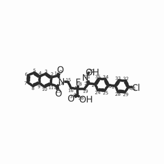 O=C1c2cc3ccccc3cc2C(=O)N1CCC(F)(CC(=NO)c1ccc(-c2ccc(Cl)cc2)cc1)C(=O)O